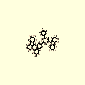 c1ccc(-c2nc(-c3cccc(-n4c5ccccc5c5cccc(-c6ccccc6)c54)c3)nc(-n3c4ccccc4c4ccccc43)n2)cc1